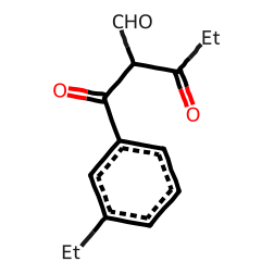 CCC(=O)C(C=O)C(=O)c1cccc(CC)c1